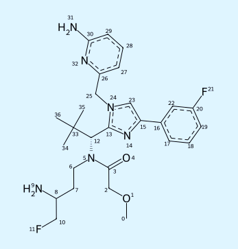 COCC(=O)N(CCC(N)CF)[C@@H](c1nc(-c2cccc(F)c2)cn1Cc1cccc(N)n1)C(C)(C)C